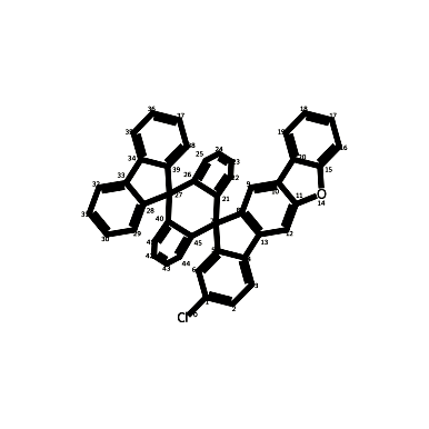 Clc1ccc2c(c1)C1(c3cc4c(cc3-2)oc2ccccc24)c2ccccc2C2(c3ccccc3-c3ccccc32)c2ccccc21